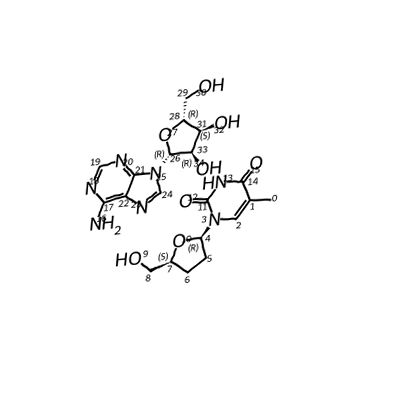 Cc1cn([C@H]2CC[C@@H](CO)O2)c(=O)[nH]c1=O.Nc1ncnc2c1ncn2[C@@H]1O[C@H](CO)[C@@H](O)[C@H]1O